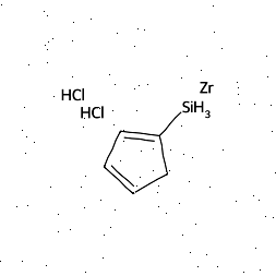 Cl.Cl.[SiH3]C1=CC=CC1.[Zr]